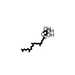 CC(=CCCCO[C@H]1OC[C@@H](O)[C@H](O)[C@H]1O)CCCC(C)CCCC(C)CCCC(C)C